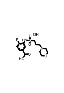 Cl.O=C(O)c1ccc(F)c(NS(=O)(=O)CCCN2CCOCC2)c1